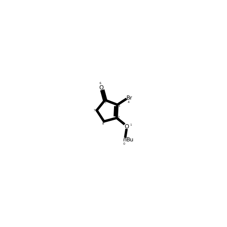 CCCCOC1=C(Br)C(=O)CC1